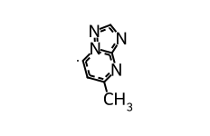 Cc1c[c]n2ncnc2n1